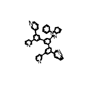 c1ccc(-n2c(-c3cc(-c4cc(-c5cccnc5)cc(-c5cccnc5)c4)cc(-c4cc(-c5cccnc5)cc(-c5cccnc5)c4)c3)nc3ccccc32)cc1